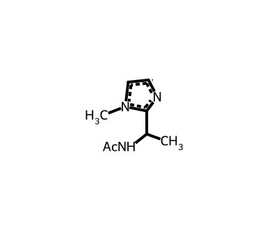 CC(=O)NC(C)c1n[c]cn1C